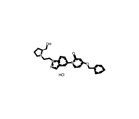 Cl.O=c1cc(OCc2ccccc2)ccn1-c1ccc2c(cnn2CCN2CCC[C@H]2CO)c1